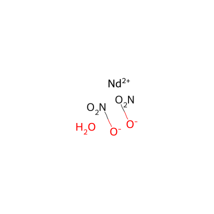 O.O=[N+]([O-])[O-].O=[N+]([O-])[O-].[Nd+2]